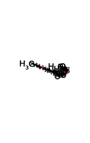 CCCCCCCCCCCCCCCCCNC(=O)[C@@H]1CSC(c2ccccc2NC(C)=O)N1